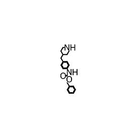 O=C(Nc1ccc(CC2CCNCC2)cc1)OCc1ccccc1